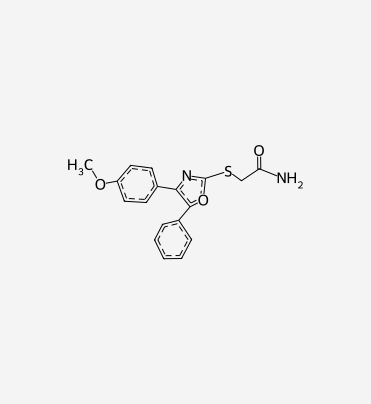 COc1ccc(-c2nc(SCC(N)=O)oc2-c2ccccc2)cc1